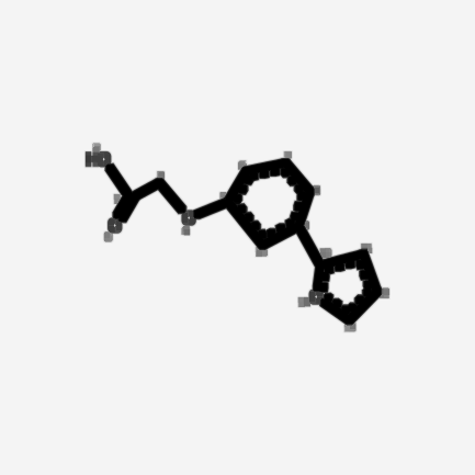 O=C(O)COc1cccc(-c2ccco2)c1